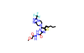 CCCc1cc2c(N3CCn4c(nnc4C(F)(F)F)C3)nc(C(=O)NNC(=O)COC)nc2s1